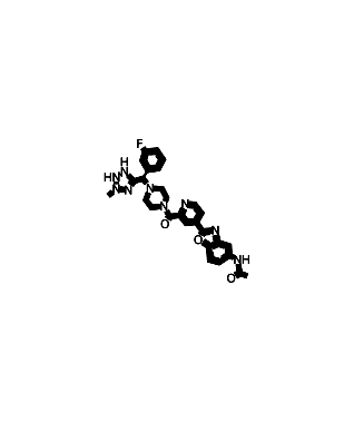 CC(=O)Nc1ccc2oc(-c3ccnc(C(=O)N4CCN([C@@H](C5=NN(C)NN5)c5cccc(F)c5)CC4)c3)nc2c1